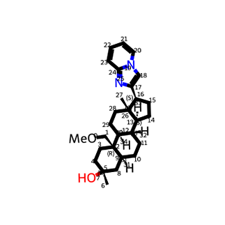 COC[C@]12CC[C@@](C)(O)C[C@@H]1CC[C@H]1[C@@H]3CC[C@H](c4cn5ccccc5n4)[C@@]3(C)CC[C@@H]12